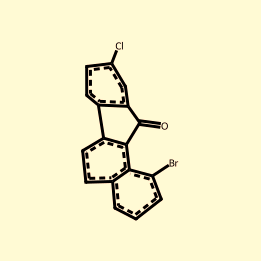 O=C1c2cc(Cl)ccc2-c2ccc3cccc(Br)c3c21